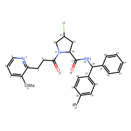 COc1cccnc1CCC(=O)N1CC(F)CC1C(=O)NC(c1ccccc1)c1ccc(C(C)C)cc1